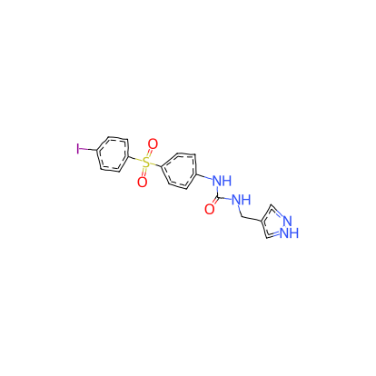 O=C(NCc1cn[nH]c1)Nc1ccc(S(=O)(=O)c2ccc(I)cc2)cc1